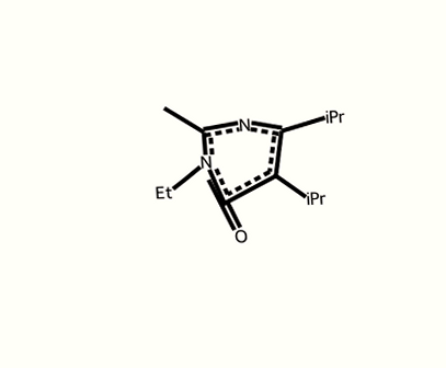 CCn1c(C)nc(C(C)C)c(C(C)C)c1=O